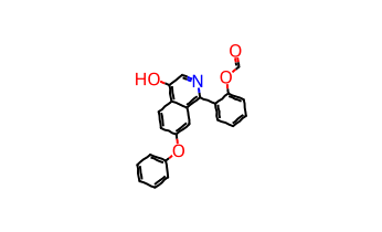 O=COc1ccccc1-c1ncc(O)c2ccc(Oc3ccccc3)cc12